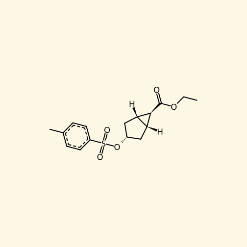 CCOC(=O)[C@H]1[C@@H]2C[C@H](OS(=O)(=O)c3ccc(C)cc3)C[C@@H]21